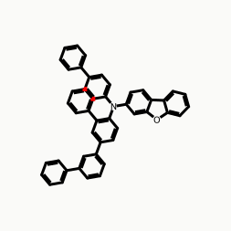 c1ccc(-c2ccc(N(c3ccc4c(c3)oc3ccccc34)c3ccc(-c4cccc(-c5ccccc5)c4)cc3-c3ccccc3)cc2)cc1